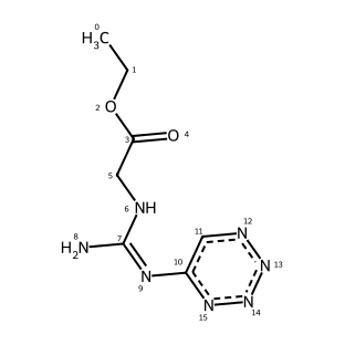 CCOC(=O)CNC(N)=Nc1cnnnn1